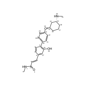 CNC(=O)/C=C/c1ccc(-c2ccc(O[C@@H]3CCC[C@@H](NC)C3)nn2)c(O)c1